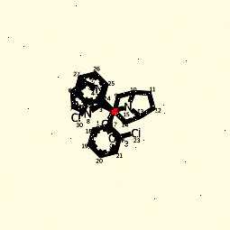 COC1(c2ncccn2)CC2CCC(C1)N2C(c1ccccc1Cl)c1ccccc1Cl